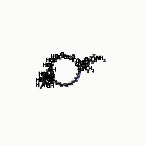 C[C@H](C[C@H](C)[C@@H]1OC(=O)CC(=O)CCCC(=O)C[C@@H](O)C[C@@H](O)C[C@@H](O)CC2(O)C[C@H](O)[C@H](C(=O)O)[C@H](C[C@H](O[C@@H]3O[C@@H](C)[C@@H](O)[C@@H](N)[C@H]3O)/C=C/C=C/C=C/C=C/C=C/C=C/C=C/[C@@H]1C)O2)[C@H](O)CC(=O)c1ccc(N)cc1